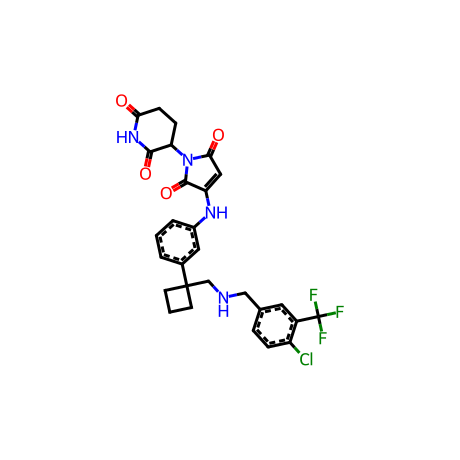 O=C1CCC(N2C(=O)C=C(Nc3cccc(C4(CNCc5ccc(Cl)c(C(F)(F)F)c5)CCC4)c3)C2=O)C(=O)N1